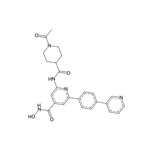 CC(=O)N1CCC(C(=O)Nc2cc(C(=O)NO)cc(-c3ccc(-c4cccnc4)cc3)n2)CC1